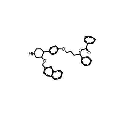 O=C(OC(CCCOc1ccc(C2CCNCC2OCc2ccc3ccccc3c2)cc1)c1ccccc1)c1ccccc1